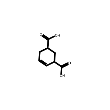 O=C(O)C1C=CCC(C(=O)O)C1